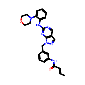 CC=CC(=O)Nc1cccc(Cn2ncc3cnc(Nc4ccccc4N4CCOCC4)nc32)c1